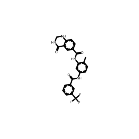 Cc1ccc(NC(=O)c2cccc(C(F)(F)F)c2)cc1NC(=O)c1ccc2c(c1)C(=O)NCN2